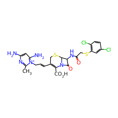 Cc1nc(N)cc(N)[n+]1CC=CC1=C(C(=O)O)N2C(=O)C(NC(=O)CSc3cc(Cl)ccc3Cl)C2SC1